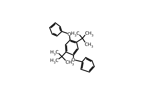 CC(C)(C)c1cc(Oc2ccccc2)c(C(C)(C)C)cc1Oc1ccccc1